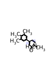 Cc1cc(C(/C=C\N(C)C)=C/C=O)cc(C)c1C